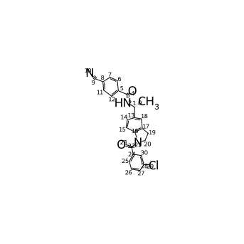 C[C@@H](NC(=O)c1ccc(C#N)cc1)c1ccc2c(c1)CCN2C(=O)c1cccc(Cl)c1